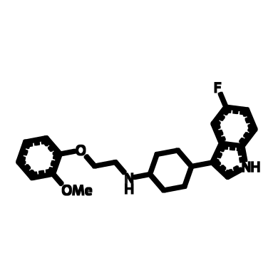 COc1ccccc1OCCNC1CCC(c2c[nH]c3ccc(F)cc23)CC1